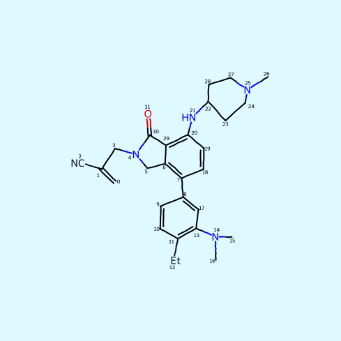 C=C(C#N)CN1Cc2c(-c3ccc(CC)c(N(C)C)c3)ccc(NC3CCN(C)CC3)c2C1=O